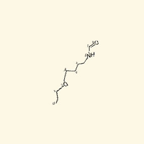 CCOCCCNC=O